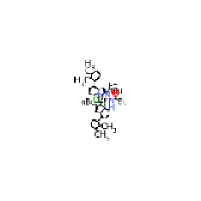 CCCCC1=Cc2c(-c3cccc(C)c3C)cccc2[CH]1[Zr]([Cl])([Cl])([B](NC(=O)CC)NC(=O)CC)[CH]1C(CCCC)=Cc2c(-c3cccc(C)c3C)cccc21